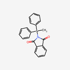 C[Si](c1ccccc1)(c1ccccc1)N1C(=O)c2ccccc2C1=O